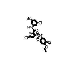 CCOc1ccc(N(C)S(=O)(=O)c2cc(Cl)sc2C(=O)Nc2cc(Cl)cc(Br)c2)cc1OC